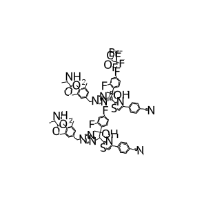 Cc1cc(C[n+]2cnn(CC(O)(c3ccc(F)cc3F)C(C)c3nc(-c4ccc(C#N)cc4)cs3)c2)cc(C)c1OC(=O)C(C)N.Cc1cc(C[n+]2cnn(C[C@](O)(c3ccc(F)cc3F)[C@@H](C)c3nc(-c4ccc(C#N)cc4)cs3)c2)cc(C)c1OC(=O)C(C)N.O=C([O-])C(F)(F)F.[Br-]